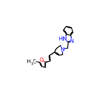 Cc1ccc(/C=C/C2=CCN(Cc3nc4ccccc4[nH]3)CC2)o1